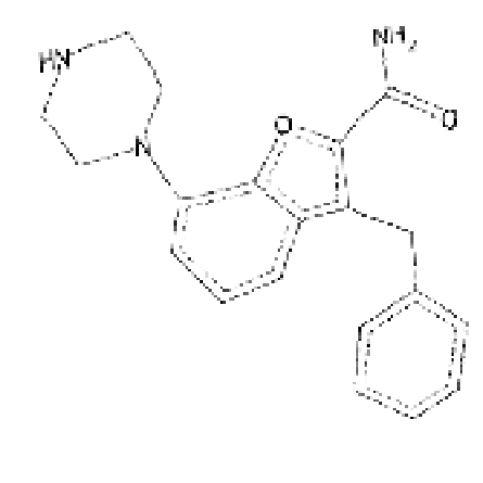 NC(=O)c1oc2c(N3CCNCC3)cccc2c1Cc1ccccc1